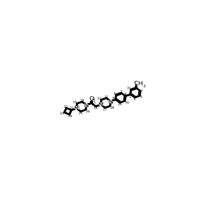 Cc1cccc(-c2ccc(N3CCN(CC(=O)N4CCN(C5CCC5)CC4)CC3)cc2)c1